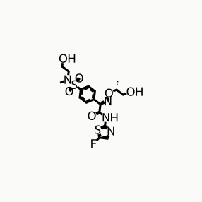 C[C@H](CO)O/N=C(/C(=O)Nc1ncc(F)s1)c1ccc(S(=O)(=O)N(C)CCO)cc1